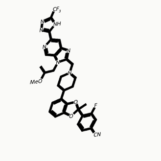 COC(C)Cn1c(CN2CCC(c3cccc4c3OC(C)(c3ccc(C#N)cc3F)O4)CC2)nc2cc(-c3nnc(C(F)(F)F)[nH]3)ncc21